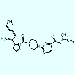 C=C(/C=C\C=C/C)[C@@H]1CC=NN1C(=O)C1CCN(c2nccc(C(=O)NN(C)C)n2)CC1